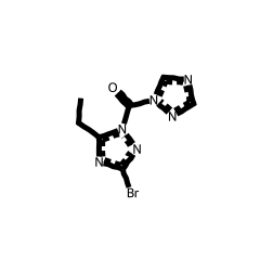 CCc1nc(Br)nn1C(=O)n1cncn1